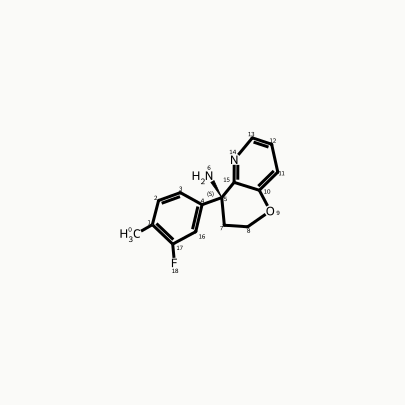 Cc1ccc([C@@]2(N)CCOc3cccnc32)cc1F